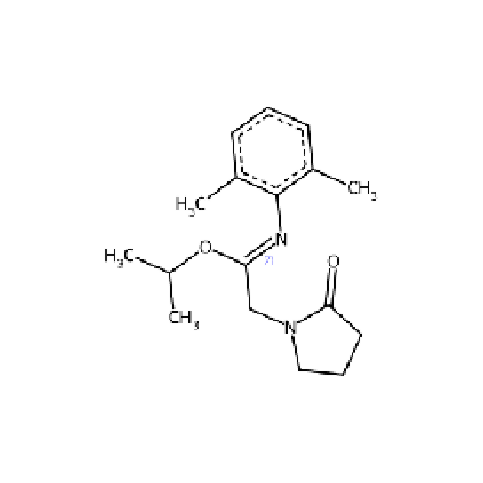 Cc1cccc(C)c1/N=C(/CN1CCCC1=O)OC(C)C